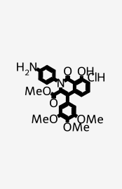 COC(=O)c1c(-c2cc(OC)c(OC)c(OC)c2)c2cccc(O)c2c(=O)n1-c1ccc(N)cc1.Cl